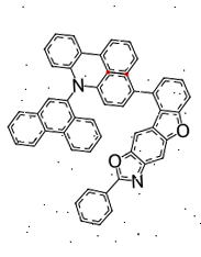 c1ccc(-c2nc3cc4oc5cccc(-c6ccc(N(c7ccccc7-c7ccccc7)c7cc8ccccc8c8ccccc78)cc6)c5c4cc3o2)cc1